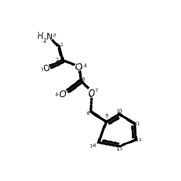 NCC(=O)OC(=O)OCc1ccccc1